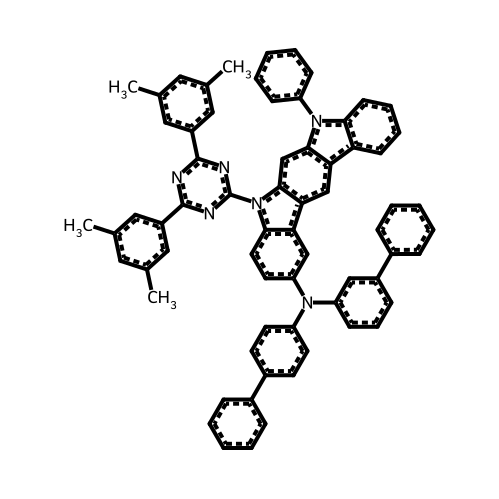 Cc1cc(C)cc(-c2nc(-c3cc(C)cc(C)c3)nc(-n3c4ccc(N(c5ccc(-c6ccccc6)cc5)c5cccc(-c6ccccc6)c5)cc4c4cc5c6ccccc6n(-c6ccccc6)c5cc43)n2)c1